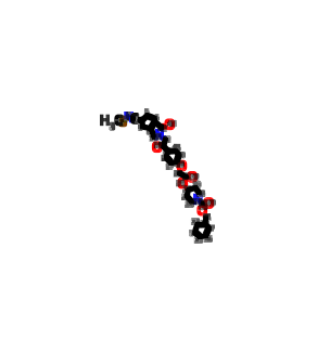 CSN=C=C1C=CC2=C(C1)CN(CC(=O)c1ccc(OCC(=O)OC3CCN(C(=O)OCc4ccccc4)CC3)cc1)C2=O